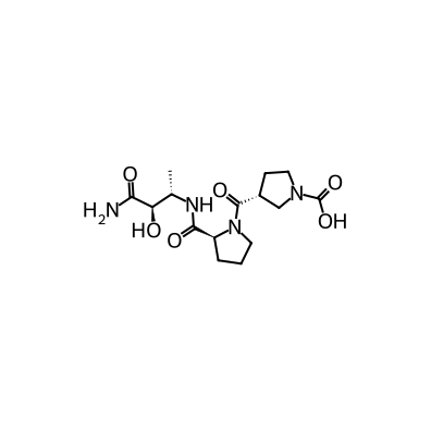 C[C@H](NC(=O)[C@@H]1CCCN1C(=O)[C@@H]1CCN(C(=O)O)C1)[C@@H](O)C(N)=O